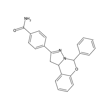 NC(=O)c1ccc(C2=NN3C(C2)c2ccccc2OC3c2cc[c]cc2)cc1